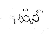 CCNc1nc2c(s1)CC(N)(c1cccc(OC)c1)CC2.Cl